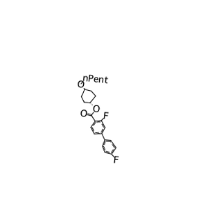 CCCCCO[C@H]1CC[C@H](OC(=O)c2ccc(-c3ccc(F)cc3)cc2F)CC1